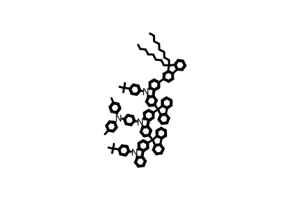 CCCCCCCCC1(CCCCCCCC)c2ccccc2-c2ccc(-c3ccc4c(c3)c3cc(C5(c6ccc7c(c6)c6cc(C8(c9ccc%10c(c9)c9ccccc9n%10-c9ccc(C(C)(C)C)cc9)c9ccccc9-c9ccccc98)ccc6n7-c6ccc(N(c7ccc(C)cc7)c7ccc(C)cc7)cc6)c6ccccc6-c6ccccc65)ccc3n4-c3ccc(C(C)(C)C)cc3)cc21